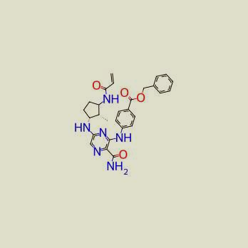 C=CC(=O)NC1CC[C@@H](Nc2cnc(C(N)=O)c(Nc3ccc(C(=O)OCc4ccccc4)cc3)n2)[C@H]1C